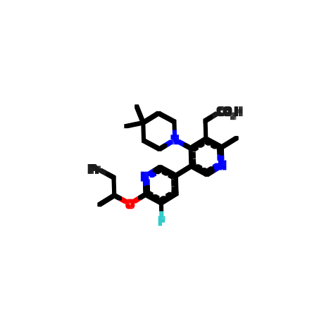 Cc1ncc(-c2cnc(OC(C)CC(C)C)c(F)c2)c(N2CCC(C)(C)CC2)c1CC(=O)O